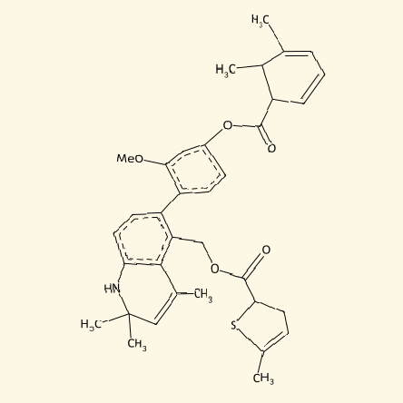 COc1cc(OC(=O)C2C=CC=C(C)C2C)ccc1-c1ccc2c(c1COC(=O)C1CC=C(C)S1)C(C)=CC(C)(C)N2